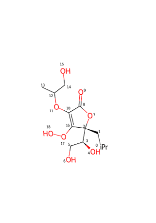 CC(C)C[C@]1([C@@H](O)CO)OC(=O)C(OC(C)CO)=C1OO